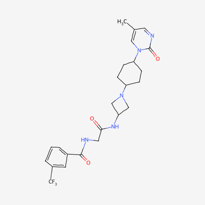 Cc1cnc(=O)n(C2CCC(N3CC(NC(=O)CNC(=O)c4cccc(C(F)(F)F)c4)C3)CC2)c1